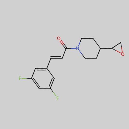 O=C(C=Cc1cc(F)cc(F)c1)N1CCC(C2CO2)CC1